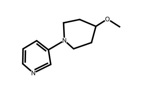 COC1CCN(c2cccnc2)CC1